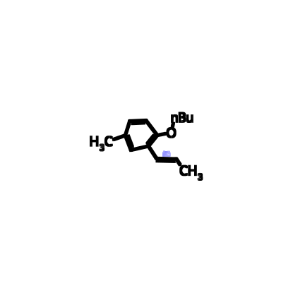 C/C=C/c1cc(C)ccc1OCCCC